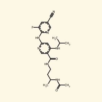 CC(=O)NC(C)CCNC(=O)c1cnc(Nc2ncc(C#N)cc2F)cc1NC(C)C